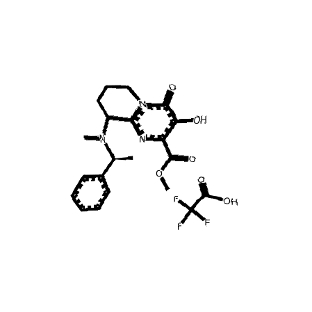 COC(=O)c1nc2n(c(=O)c1O)CCCC2N(C)[C@@H](C)c1ccccc1.O=C(O)C(F)(F)F